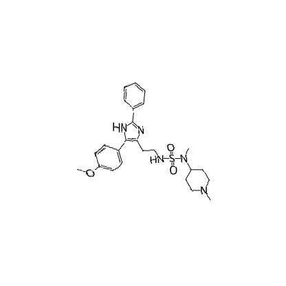 COc1ccc(-c2[nH]c(-c3ccccc3)nc2CCNS(=O)(=O)N(C)C2CCN(C)CC2)cc1